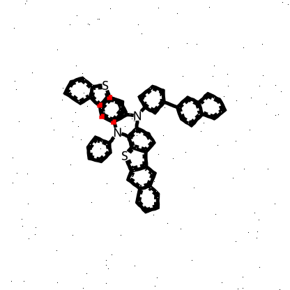 c1ccc(N(c2cccc(-c3ccc4ccccc4c3)c2)c2ccc3c(sc4cc5ccccc5cc43)c2N(c2ccccc2)c2ccc3sc4ccccc4c3c2)cc1